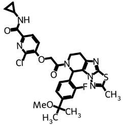 COC(C)(C)c1ccc(C2c3c(nc4sc(C)nn34)CCN2C(=O)COc2ccc(C(=O)NC3CC3)nc2Cl)c(F)c1